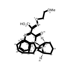 COCCO/N=C(\C(=O)O)c1nc2ccccc2n([C@@H]2C[C@@H]3CCC[C@H]2N3C2CC3CCCCC(C3)C2)c1=O